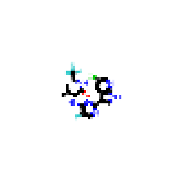 CC(C)[C@@H](Nc1nc(-c2c[nH]c3ncc(Cl)cc23)ncc1F)C(=O)NCC(F)(F)F